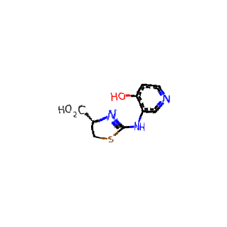 O=C(O)[C@@H]1CSC(Nc2cnccc2O)=N1